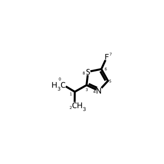 CC(C)c1ncc(F)s1